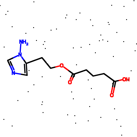 Nn1cncc1CCOC(=O)CCCC(=O)O